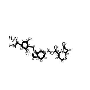 N=C(N)c1cc(F)c(Cn2ccc3cc[n+](COC(=O)C4=CCSC5CC(=O)N45)cc32)c(Cl)c1